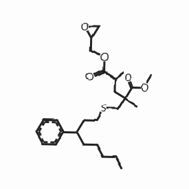 CCCCCC(CCSCC(C)(CC(C)C(=O)OCC1CO1)C(=O)OC)c1ccccc1